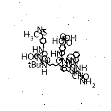 Cc1ncsc1-c1ccc(CNC(=O)[C@@H]2C[C@H](O)CN2C(=O)[C@@H](NC(=O)CCCCc2ccc(CO[C@H](C)[C@H](CCC(N)=O)NC(=O)[C@@H]3Cc4cccc5c4N3C(=O)[C@@H](NC(=O)c3cc4cc(C(=O)P(=O)(O)O)ccc4[nH]3)CC5)cc2)C(C)(C)C)cc1